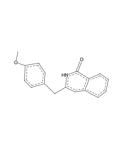 COc1ccc(Cc2cc3ccccc3c(=O)[nH]2)cc1